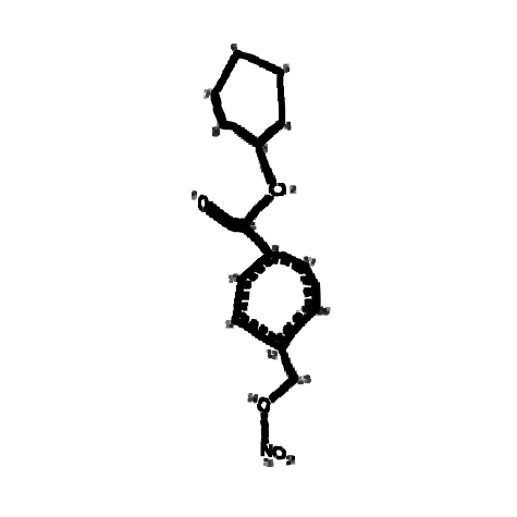 O=C(OC1CCCCC1)c1ccc(CO[N+](=O)[O-])cc1